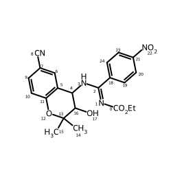 CCOC(=O)N=C(NC1c2cc(C#N)ccc2OC(C)(C)C1O)c1ccc([N+](=O)[O-])cc1